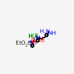 CCOC(=O)CN(C(=O)Oc1ccc2c(C(=O)CCc3ccc(C(=N)N)cc3)cn(C)c2c1)c1ccccc1.Cl